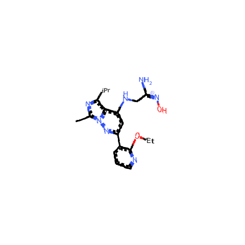 CCOc1ncccc1-c1cc(NC/C(N)=N\O)c2c(C(C)C)nc(C)n2n1